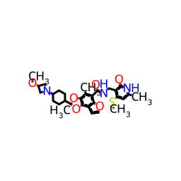 COC1CN(C2CCC(C3(C)Oc4c(C)c(C(=O)NCc5c(SC)cc(C)[nH]c5=O)c5occc5c4O3)CC2)C1